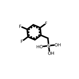 O[Si](O)(O)Cc1cc(F)c(F)cc1F